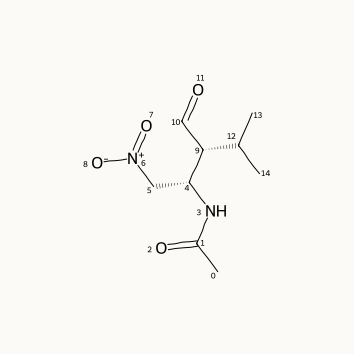 CC(=O)N[C@H](C[N+](=O)[O-])[C@H](C=O)C(C)C